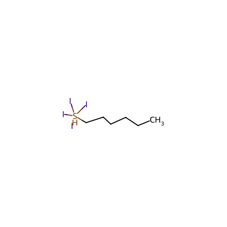 CCCCCC[SH](I)(I)(I)I